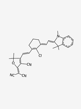 CN1/C(=C/C=C2\CCCC(/C=C/C3=C(C#N)C(=C(C#N)C#N)OC3(C)C)=C2Cl)C(C)(C)c2ccccc21